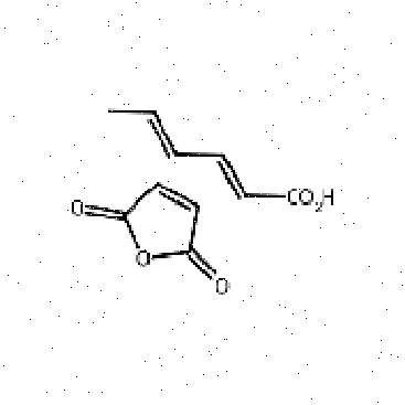 C/C=C/C=C/C(=O)O.O=C1C=CC(=O)O1